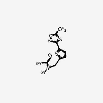 CC(C)C(=O)N(Cc1ccc(-c2noc(C(F)(F)F)n2)s1)C(C)C